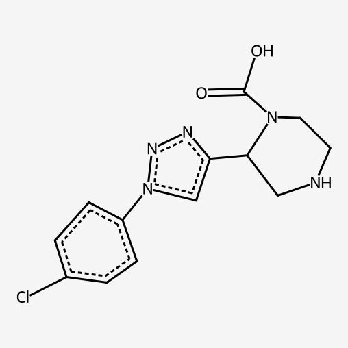 O=C(O)N1CCNCC1c1cn(-c2ccc(Cl)cc2)nn1